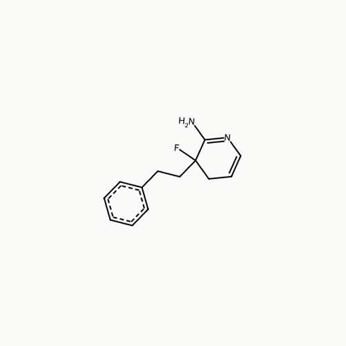 NC1=NC=CCC1(F)CCc1ccccc1